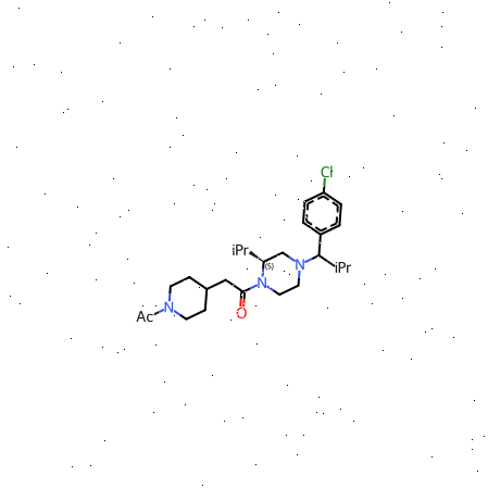 CC(=O)N1CCC(CC(=O)N2CCN(C(c3ccc(Cl)cc3)C(C)C)C[C@@H]2C(C)C)CC1